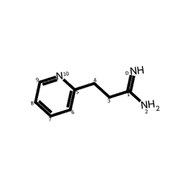 N=C(N)CCc1ccccn1